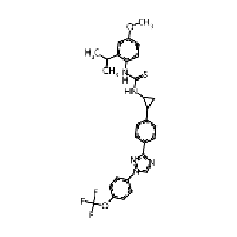 COc1ccc(NC(=S)NC2CC2c2ccc(-c3ncn(-c4ccc(OC(F)(F)F)cc4)n3)cc2)c(C(C)C)c1